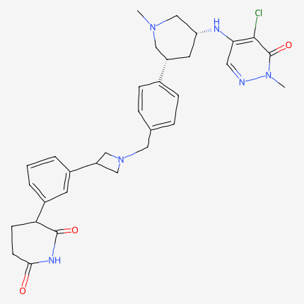 CN1C[C@H](Nc2cnn(C)c(=O)c2Cl)C[C@H](c2ccc(CN3CC(c4cccc(C5CCC(=O)NC5=O)c4)C3)cc2)C1